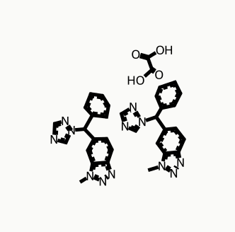 Cn1nnc2ccc(C(c3ccccc3)n3cncn3)cc21.Cn1nnc2ccc(C(c3ccccc3)n3cncn3)cc21.O=C(O)C(=O)O